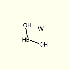 OBO.[W]